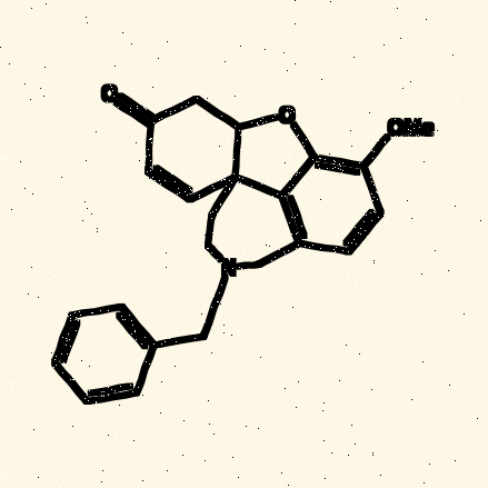 COc1ccc2c3c1OC1CC(=O)C=CC31CCN(Cc1ccccc1)C2